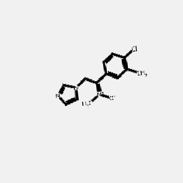 Cc1cc(C(Cn2ccnc2)=[N+](C)[O-])ccc1Cl